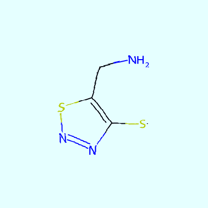 NCc1snnc1[S]